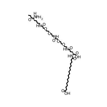 CCC(=O)[C@H](CCCCNC(=O)COCCOCCNC(=O)COCCOCCNC(=O)CC[C@H](NC(=O)CCCCCCCCCCCCCCCCC(=O)O)C(=O)O)NP